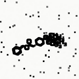 CC(C)(C)[Si](C)(C)O[C@H]1CC[C@H](CC(=O)OCc2ccccc2)CC1